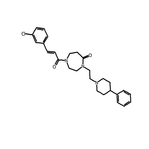 O=C(/C=C/c1cccc(Cl)c1)N1CCC(=O)N(CCN2CCC(c3ccccc3)CC2)CC1